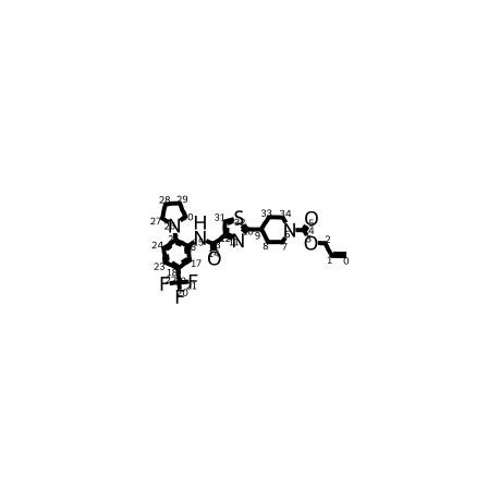 C=CCOC(=O)N1CCC(c2nc(C(=O)Nc3cc(C(F)(F)F)ccc3N3CCCC3)cs2)CC1